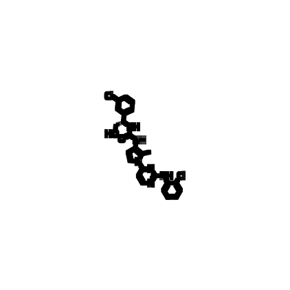 Cc1c(NC(=O)N[C@H](CO)c2cccc(Cl)c2)ccn1-c1ccnc(Nc2ccccc2Cl)n1